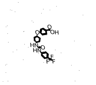 O=C(Nc1ccc(C(F)(F)F)cc1)N[C@H]1CC[C@H](Oc2ccc(C(=O)O)cc2)CC1